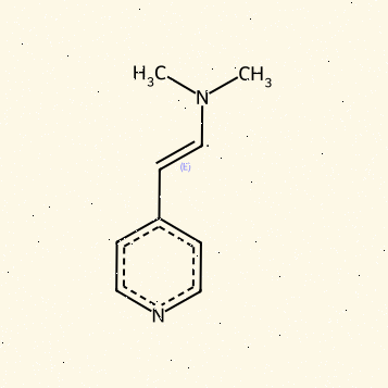 CN(C)/[C]=C/c1ccncc1